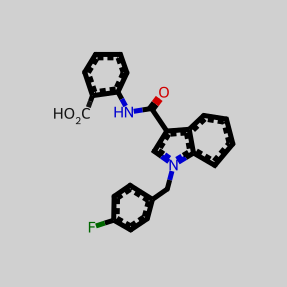 O=C(O)c1ccccc1NC(=O)c1cn(Cc2ccc(F)cc2)c2ccccc12